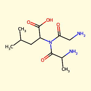 CC(C)CC(C(=O)O)N(C(=O)CN)C(=O)C(C)N